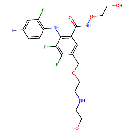 O=C(NOCCO)c1cc(COCCNCCO)c(F)c(F)c1Nc1ccc(I)cc1F